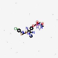 CC(N)C(=O)NC(C)C(=O)OCCOc1ccc(-c2c(C#N)c(SCc3csc(-c4ccc(Cl)cc4)n3)nc(N3CCCC3)c2C#N)cc1